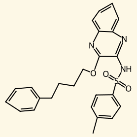 Cc1ccc(S(=O)(=O)Nc2nc3ccccc3nc2OCCCCc2ccccc2)cc1